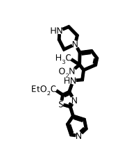 CCOC(=O)c1sc(-c2ccncc2)nc1NCC1C=CC=C(N2CCNCC2)C1(C)[N+](=O)[O-]